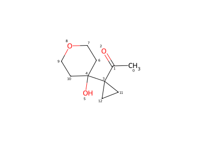 CC(=O)C1(C2(O)CCOCC2)CC1